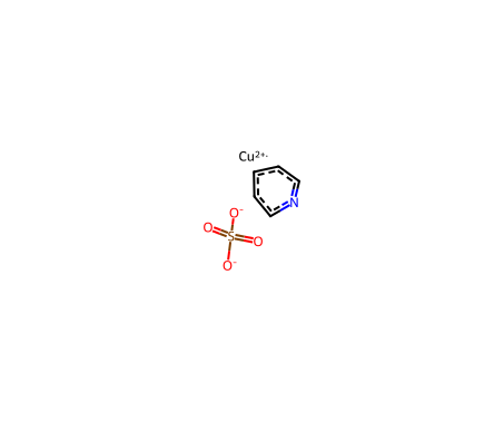 O=S(=O)([O-])[O-].[Cu+2].c1ccncc1